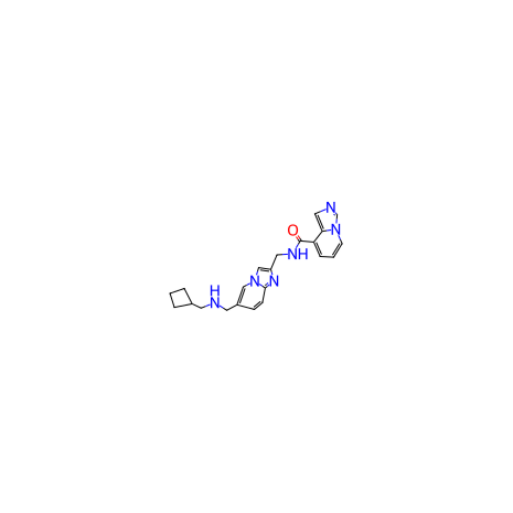 O=C(NCc1cn2cc(CNCC3CCC3)ccc2n1)c1cccn2cncc12